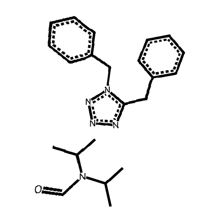 CC(C)N(C=O)C(C)C.c1ccc(Cc2nnnn2Cc2ccccc2)cc1